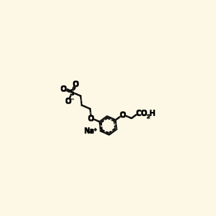 O=C(O)COc1cccc(OCCCS(=O)(=O)[O-])c1.[Na+]